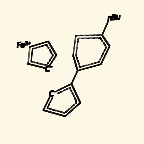 CCCCc1ccc(-c2ccc[cH-]2)cc1.[Fe+2].c1cc[cH-]c1